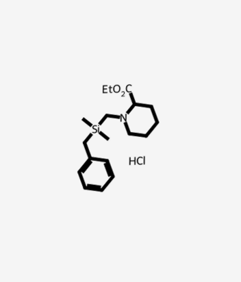 CCOC(=O)C1CCCCN1C[Si](C)(C)Cc1ccccc1.Cl